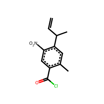 C=CC(C)c1cc(C)c(C(=O)Cl)cc1[N+](=O)[O-]